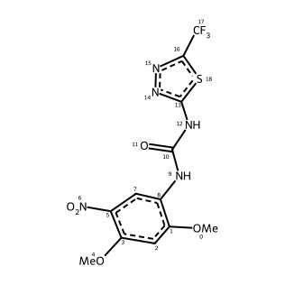 COc1cc(OC)c([N+](=O)[O-])cc1NC(=O)Nc1nnc(C(F)(F)F)s1